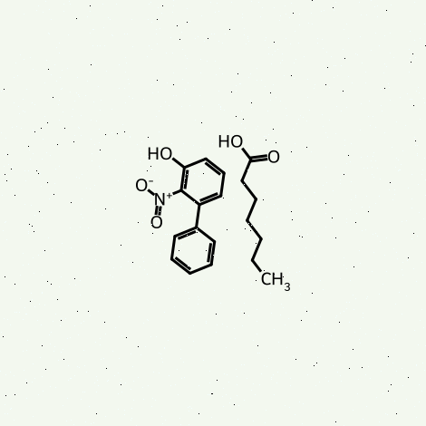 CCCCCCC(=O)O.O=[N+]([O-])c1c(O)cccc1-c1ccccc1